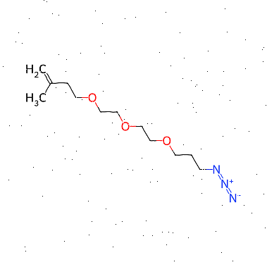 C=C(C)CCOCCOCCOCCCN=[N+]=[N-]